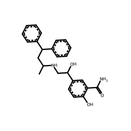 CC(CC(c1ccccc1)c1ccccc1)NCC(O)c1ccc(O)c(C(N)=O)c1